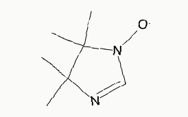 CC1(C)N=CN([O])C1(C)C